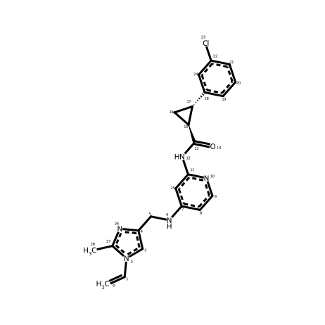 C=Cn1cc(CNc2ccnc(NC(=O)[C@H]3C[C@@H]3c3cccc(Cl)c3)c2)nc1C